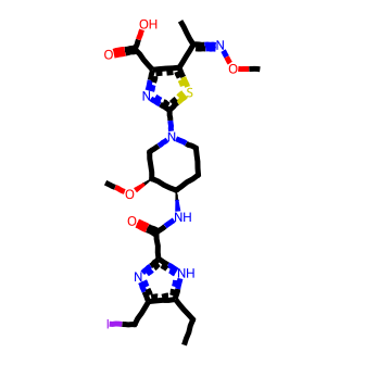 CCc1[nH]c(C(=O)N[C@@H]2CCN(c3nc(C(=O)O)c(/C(C)=N\OC)s3)C[C@@H]2OC)nc1CI